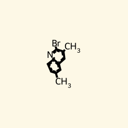 Cc1ccc2nc(Br)c(C)cc2c1